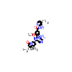 CCOc1cc(C(=O)Nc2cc(C(F)(F)F)ccn2)ccc1C1=NC([C@@H]2CC[C@@H]3N(C2)C(=O)CC3(C)C)=C2C=NC=C[N+]12N